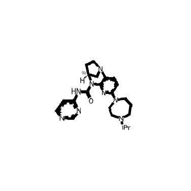 CC(C)N1CCCN(c2ccc3c(n2)N(C(=O)Nc2ccncn2)[C@H]2CCN3C2)CC1